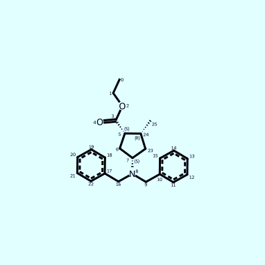 CCOC(=O)[C@H]1C[C@@H](N(Cc2ccccc2)Cc2ccccc2)C[C@H]1C